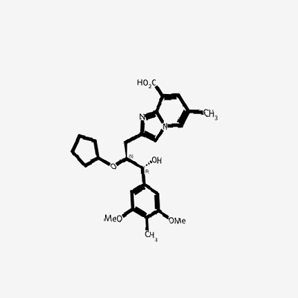 COc1cc([C@@H](O)[C@H](Cc2cn3cc(C)cc(C(=O)O)c3n2)OC2CCCC2)cc(OC)c1C